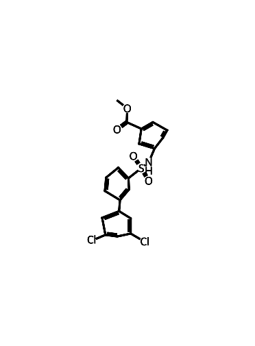 COC(=O)c1cccc(NS(=O)(=O)c2cccc(-c3cc(Cl)cc(Cl)c3)c2)c1